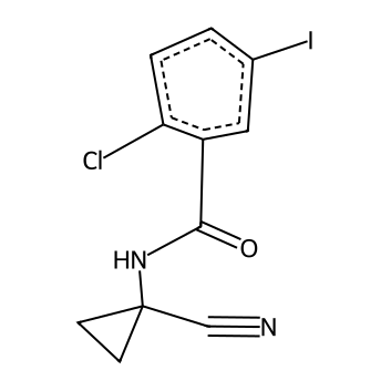 N#CC1(NC(=O)c2cc(I)ccc2Cl)CC1